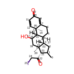 CC1C[C@H]2[C@@H]3CCC4=CC(=O)C=C[C@]4(C)[C@H]3C(O)C[C@]2(C)[C@H]1C(=O)CI